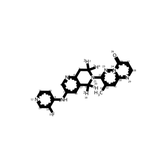 [2H]C1([2H])Cc2ncc(Nc3ccncc3F)cc2C([2H])([2H])N1c1nn2c(=O)ccnc2cc1C